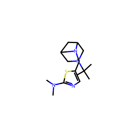 CN(C)c1ncc(CN2C3CC2CN(C(C)(C)C)C3)s1